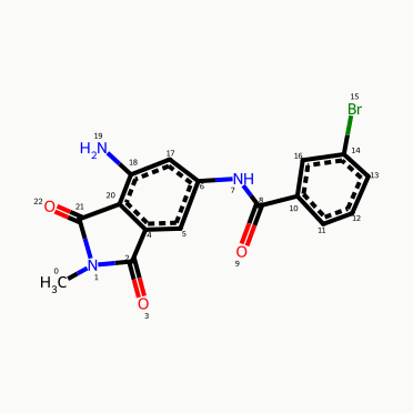 CN1C(=O)c2cc(NC(=O)c3cccc(Br)c3)cc(N)c2C1=O